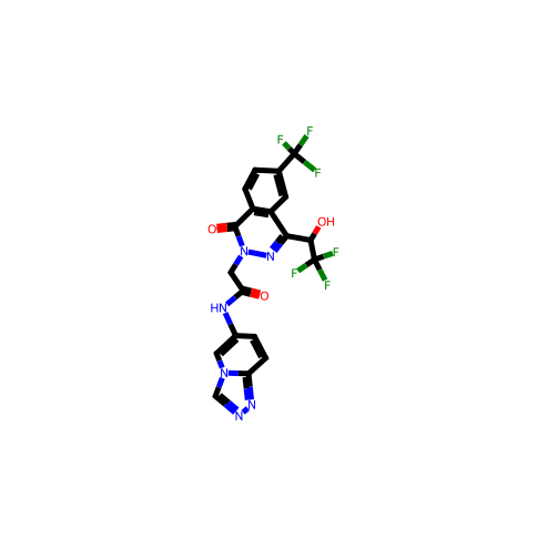 O=C(Cn1nc(C(O)C(F)(F)F)c2cc(C(F)(F)F)ccc2c1=O)Nc1ccc2nncn2c1